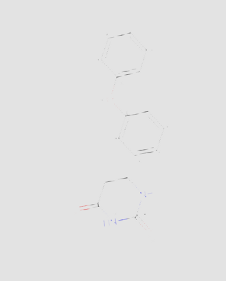 O=C1C[C@H](c2cccc(Oc3ccccc3)c2)NC(=O)N1